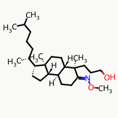 CON=C1CC[C@H]2[C@@H]3CC[C@H]([C@H](C)CCCC(C)C)[C@@]3(C)CC[C@@H]2[C@@]1(C)CCCO